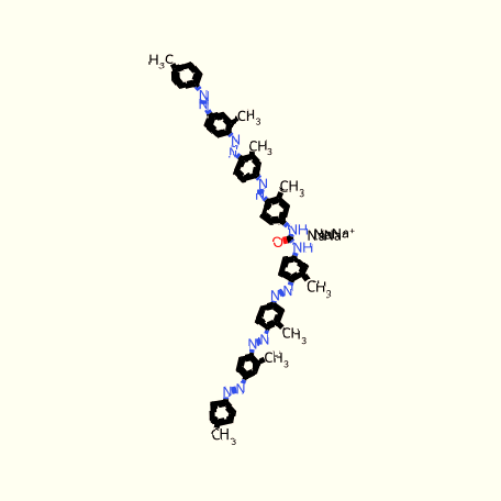 Cc1ccc(N=Nc2ccc(N=Nc3ccc(N=Nc4ccc(NC(=O)Nc5ccc(N=Nc6ccc(N=Nc7ccc(N=Nc8ccc(C)cc8)cc7C)c(C)c6)c(C)c5)cc4C)cc3C)c(C)c2)cc1.[Na+].[Na+].[Na+].[Na+]